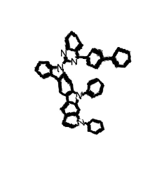 c1ccc(-c2ccc(-c3nc(-n4c5ccccc5c5cc6c7cc8ccn(-c9ccccc9)c8cc7n(-c7ccccc7)c6cc54)nc4ccccc34)cc2)cc1